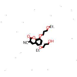 CCOCCCO.CCOCCCOc1cccc2cc(C#N)c(=O)oc12